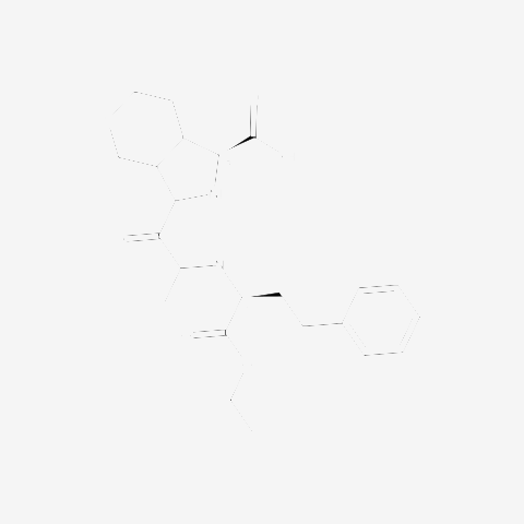 CCOC(=O)[C@H](CCc1ccccc1)NC(C)C(=O)C1N[C@H](C(=O)O)C2CCSCC12